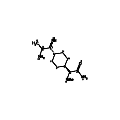 CNC(C(N)=O)[C@H]1CC[C@H](C(=N)N(C)N)CC1